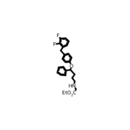 CCOC(=O)CNCCCC(Oc1ccc(Cc2cccc(F)c2F)cc1)c1ccccc1